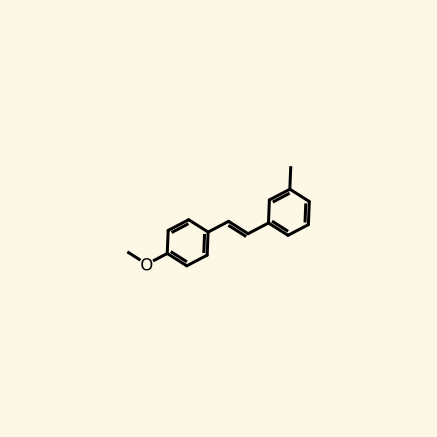 COc1ccc(C=Cc2cccc(C)c2)cc1